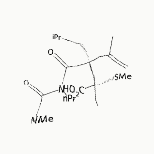 C=C(C)[C@](CC(C)C)(C(=O)N(CCC)C(=O)NC)[C@](C)(SC)C(=O)O